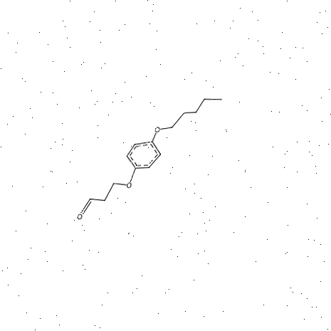 CCCCCOc1ccc(OCCC=O)cc1